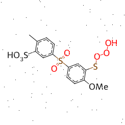 COc1ccc(S(=O)(=O)c2ccc(C)c(S(=O)(=O)O)c2)cc1SOOO